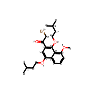 COc1cccc2c(OCCC(C)C)cc(C(=O)CBr)c(OCCC(C)C)c12